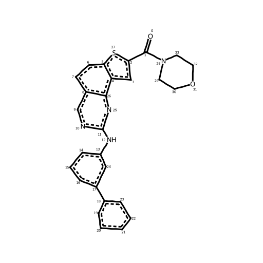 O=C(c1cc2c(ccc3cnc(Nc4cccc(-c5ccccc5)c4)nc32)s1)N1CCOCC1